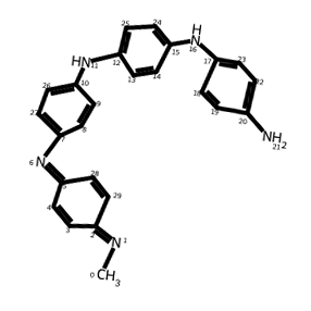 CN=C1C=CC(=Nc2ccc(Nc3ccc(Nc4ccc(N)cc4)cc3)cc2)C=C1